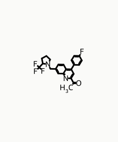 CC(=O)c1cc(-c2ccc(F)cc2)c2ccc(CN3CCCC3C(F)(F)F)cc2n1